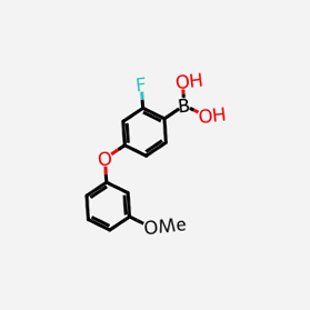 COc1cccc(Oc2ccc(B(O)O)c(F)c2)c1